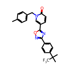 Cc1ccc(Cn2cc(-c3nc(-c4ccc(C(C)(C)C(F)(F)F)cc4)no3)ccc2=O)cc1